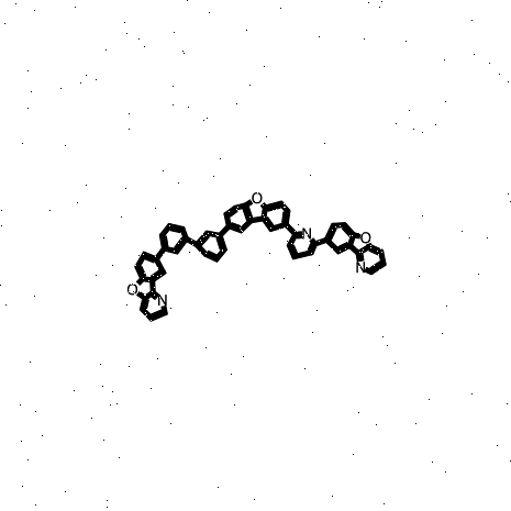 c1cc(-c2cccc(-c3ccc4oc5cccnc5c4c3)c2)cc(-c2ccc3oc4ccc(-c5cccc(-c6ccc7oc8cccnc8c7c6)n5)cc4c3c2)c1